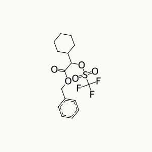 O=C(OCc1ccccc1)C(OS(=O)(=O)C(F)(F)F)C1CCCCC1